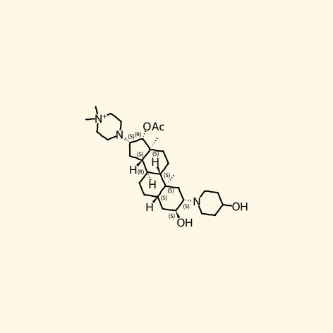 CC(=O)O[C@H]1[C@@H](N2CC[N+](C)(C)CC2)C[C@H]2[C@@H]3CC[C@H]4C[C@H](O)[C@@H](N5CCC(O)CC5)C[C@]4(C)[C@H]3CC[C@@]21C